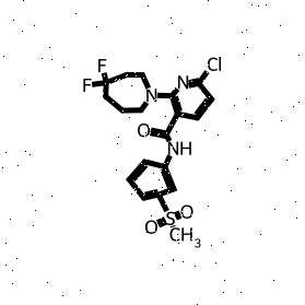 CS(=O)(=O)c1cccc(NC(=O)c2ccc(Cl)nc2N2CCCC(F)(F)CC2)c1